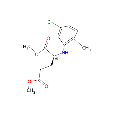 COC(=O)CC[C@H](Nc1cc(Cl)ccc1C)C(=O)OC